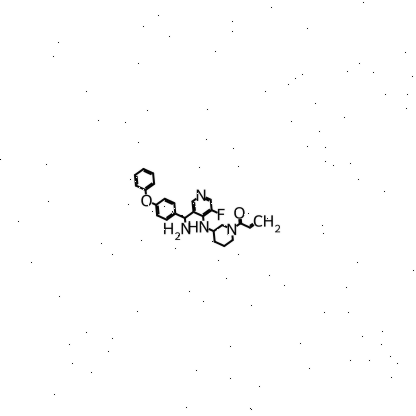 C=CC(=O)N1CCCC(Nc2c(F)cncc2C(N)c2ccc(Oc3ccccc3)cc2)C1